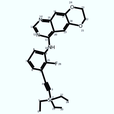 CC[Si](C#Cc1cccc(Nc2ncnc3cc4c(cc23)OCCO4)c1F)(CC)CC